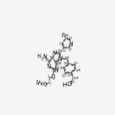 COCCOc1nc(N)c2nc(-c3cncc(F)c3)n(Cc3ccc(CO)cc3)c2n1